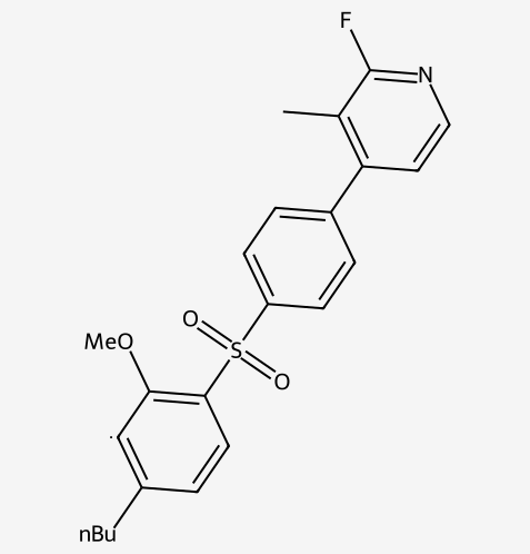 CCCCc1[c]c(OC)c(S(=O)(=O)c2ccc(-c3ccnc(F)c3C)cc2)cc1